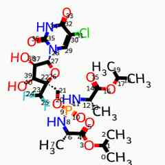 CC(C)OC(=O)[C@H](C)NP(=O)(N[C@@H](C)C(=O)OC(C)C)OC[C@@]1(C(F)F)O[C@@H](n2cc(Cl)c(=O)[nH]c2=O)[C@H](O)[C@@H]1O